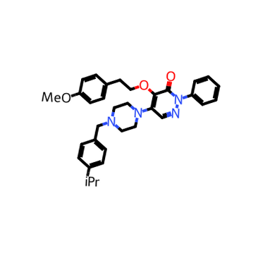 COc1ccc(CCOc2c(N3CCN(Cc4ccc(C(C)C)cc4)CC3)cnn(-c3ccccc3)c2=O)cc1